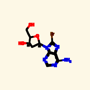 Nc1ncnc2c1nc(Br)n2[C@H]1C[C@@H](O)C(CO)O1